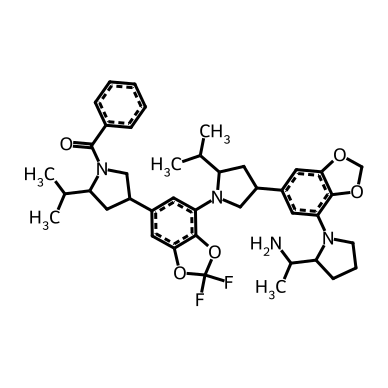 CC(C)C1CC(c2cc3c(c(N4CC(c5cc6c(c(N7CCCC7C(C)N)c5)OCO6)CC4C(C)C)c2)OC(F)(F)O3)CN1C(=O)c1ccccc1